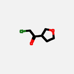 O=C(CCl)C1CCOC1